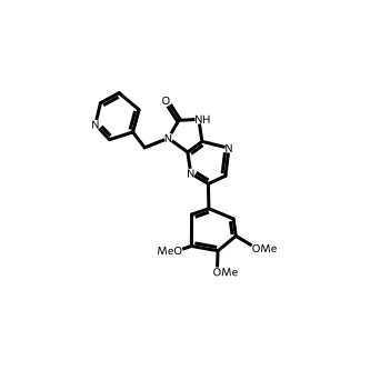 COc1cc(-c2cnc3[nH]c(=O)n(Cc4cccnc4)c3n2)cc(OC)c1OC